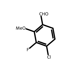 COc1c(C=O)ccc(Cl)c1F